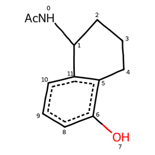 CC(=O)NC1CCCc2c(O)cccc21